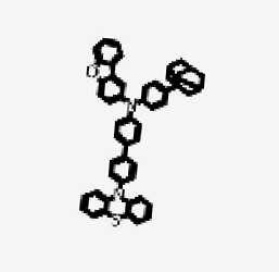 c1ccc2c(c1)Sc1ccccc1N2c1ccc(-c2ccc(N(c3ccc(C45CC6CC(CC(C6)C4)C5)cc3)c3ccc4oc5ccccc5c4c3)cc2)cc1